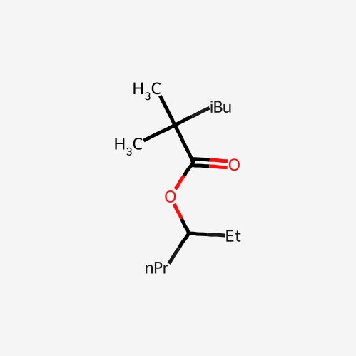 CCCC(CC)OC(=O)C(C)(C)C(C)CC